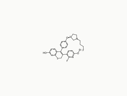 CCOc1ccc(C2=C(c3ccc(O[C@H]4CCN(CCCF)C4)cc3)c3ccc(O)cc3SC2)c(F)n1